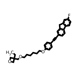 CCC1(COCCCCCCOc2ccc(C#Cc3ccc4c(c3)Cc3cc(F)ccc3-4)cc2)COC1